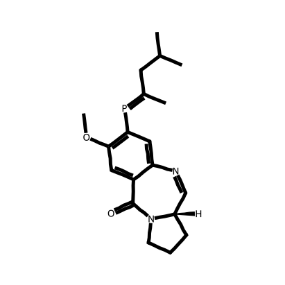 COc1cc2c(cc1/P=C(\C)CC(C)C)N=C[C@@H]1CCCN1C2=O